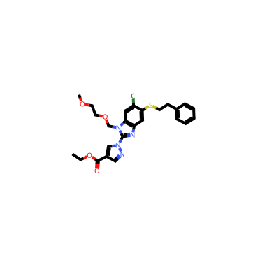 CCOC(=O)c1cnn(-c2nc3cc(SCCc4ccccc4)c(Cl)cc3n2COCCOC)c1